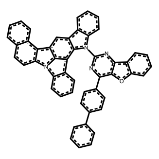 c1ccc(-c2ccc(-c3nc(-n4c5ccccc5c5cc6c7c8ccccc8ccc7n7c8ccccc8c(c54)c67)nc4c3oc3ccccc34)cc2)cc1